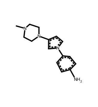 CN1CCN(c2ccn(-c3ccc(N)cc3)c2)CC1